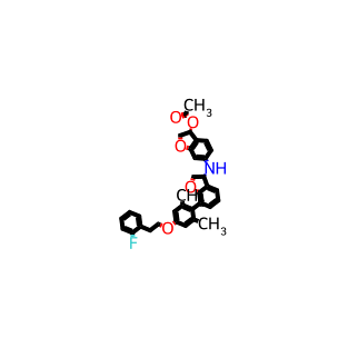 CC(=O)O[C@@H]1COc2cc(N[C@@H]3COc4c(-c5c(C)cc(OCCc6ccccc6F)cc5C)cccc43)ccc21